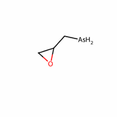 [AsH2]CC1CO1